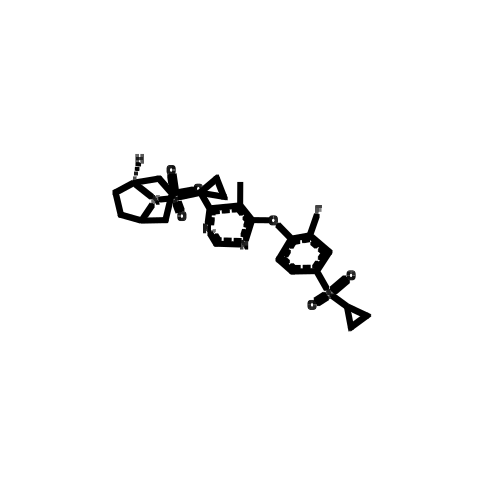 Cc1c(Oc2ccc(S(=O)(=O)C3CC3)cc2F)ncnc1OC1CC2CC[C@@H](C1)N2S(=O)(=O)C1CC1